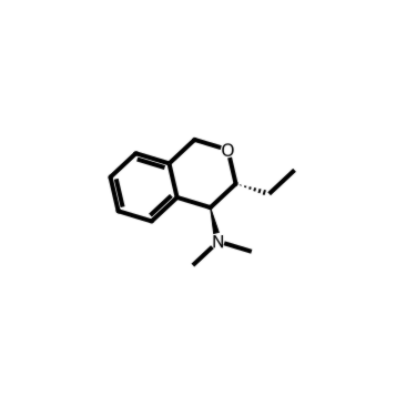 CC[C@H]1OCc2ccccc2[C@@H]1N(C)C